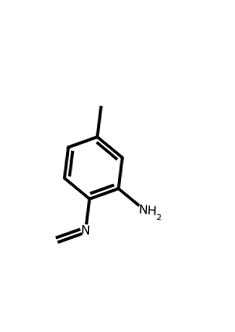 C=Nc1ccc(C)cc1N